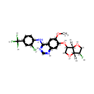 COc1cc2c(Nc3ccc(C(F)(F)F)cc3Br)ncnc2cc1OC1CO[C@H]2[C@H](F)CO[C@@H]12